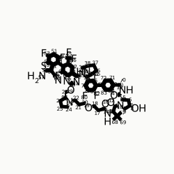 C[C@H](NC(=O)[C@@H]1C[C@@H](O)CN1C(=O)[C@@H](NC(=O)CCOCCCN1CCC[C@H]1COc1nc(N2CC3CCC(C2)N3)c2cc(C(F)(F)F)c(-c3ccc(F)c4sc(N)c(C#N)c34)c(F)c2n1)C(C)(C)C)c1ccc(-c2c(F)ccc(F)c2F)cc1